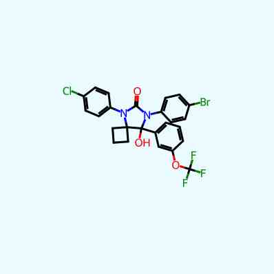 O=C1N(c2ccc(Cl)cc2)C2(CCC2)C(O)(c2cccc(OC(F)(F)F)c2)N1c1ccc(Br)cc1